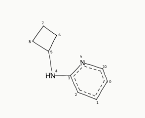 [c]1ccc(NC2CCC2)nc1